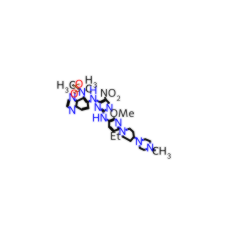 CCc1cc(Nc2ncc([N+](=O)[O-])c(Nc3ccc4nccnc4c3N(C)S(C)(=O)=O)n2)c(OC)nc1N1CCC(N2CCN(C)CC2)CC1